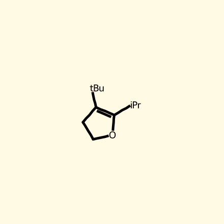 CC(C)C1=C(C(C)(C)C)CCO1